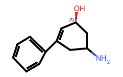 NC1CC(c2ccccc2)=C[C@@H](O)C1